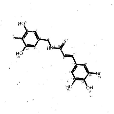 Cc1c(O)cc(CNC(=S)/C=C/c2cc(O)c(O)c(Br)c2)cc1O